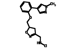 Cn1cc(-c2ccccc2OCC2CC(CNCl)=NO2)cn1